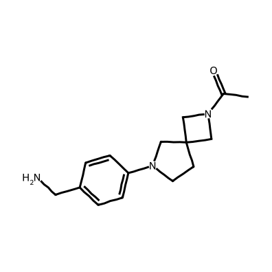 CC(=O)N1CC2(CCN(c3ccc(CN)cc3)C2)C1